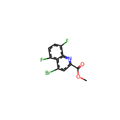 COC(=O)c1cc(Br)c2c(F)ccc(F)c2n1